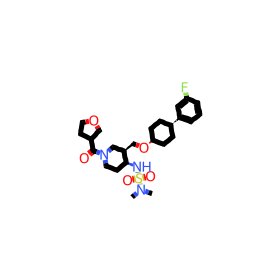 CN(C)S(=O)(=O)N[C@H]1CCN(C(=O)C2CCOC2)C[C@H]1CO[C@H]1CC[C@@H](c2cccc(F)c2)CC1